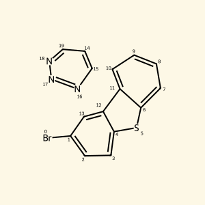 Brc1ccc2sc3ccccc3c2c1.c1cnnnc1